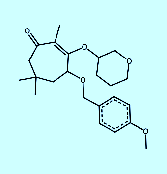 COc1ccc(COC2CC(C)(C)CC(=O)C(C)=C2OC2CCCOC2)cc1